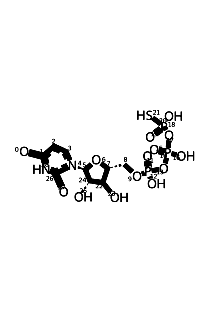 O=c1ccn([C@@H]2O[C@H](COP(=O)(O)OP(=O)(O)OP(=O)(O)S)C(O)[C@@H]2O)c(=O)[nH]1